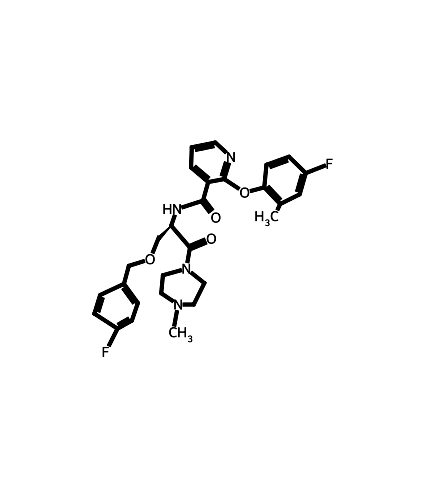 Cc1cc(F)ccc1Oc1ncccc1C(=O)N[C@H](COCc1ccc(F)cc1)C(=O)N1CCN(C)CC1